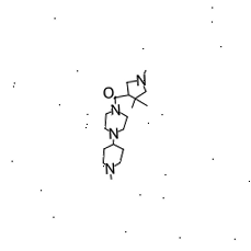 CN1CCC(N2CCN(C(=O)C3CN(C)CC3(C)C)CC2)CC1